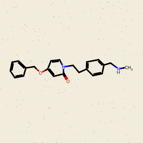 CNCc1ccc(CCn2ccc(OCc3ccccc3)cc2=O)cc1